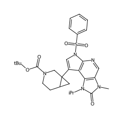 CC(C)n1c(=O)n(C)c2cnc3c(c(C45CC4CCN(C(=O)OC(C)(C)C)C5)cn3S(=O)(=O)c3ccccc3)c21